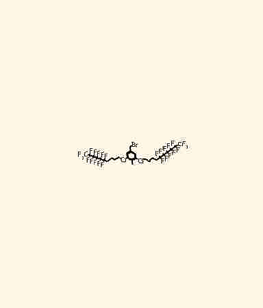 Cc1c(OCCCCC(F)(F)C(F)(F)C(F)(F)C(F)(F)C(F)(F)C(F)(F)F)cc(CBr)cc1OCCCCC(F)(F)C(F)(F)C(F)(F)C(F)(F)C(F)(F)C(F)(F)F